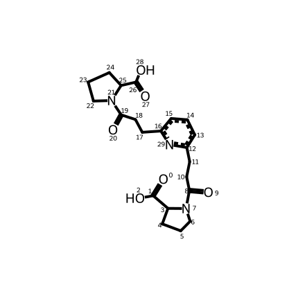 O=C(O)C1CCCN1C(=O)CCc1cccc(CCC(=O)N2CCCC2C(=O)O)n1